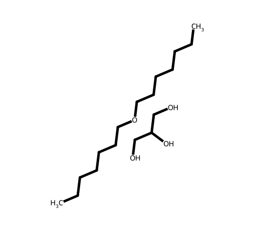 CCCCCCCOCCCCCCC.OCC(O)CO